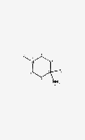 CN1CCC(C)(N)CC1